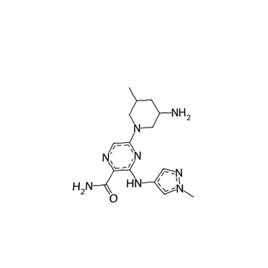 CC1CC(N)CN(c2cnc(C(N)=O)c(Nc3cnn(C)c3)n2)C1